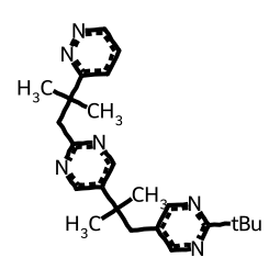 CC(C)(C)c1ncc(CC(C)(C)c2cnc(CC(C)(C)c3cccnn3)nc2)cn1